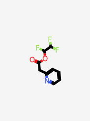 O=C(Cc1ccccn1)OC(F)C(F)F